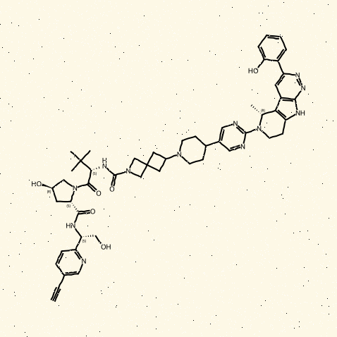 C#Cc1ccc([C@@H](CO)NC(=O)[C@@H]2C[C@@H](O)CN2C(=O)[C@@H](NC(=O)N2CC3(CC(N4CCC(c5cnc(N6CCc7[nH]c8nnc(-c9ccccc9O)cc8c7[C@H]6C)nc5)CC4)C3)C2)C(C)(C)C)nc1